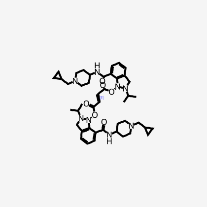 CC(C)N1Cc2cccc(C(=O)NC3CCN(CC4CC4)CC3)c2N1OC(=O)/C=C/C(=O)ON1c2c(cccc2C(=O)NC2CCN(CC3CC3)CC2)CN1C(C)C